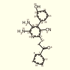 N#Cc1c(SCC(=O)c2ccccc2)nc(N)c(N)c1-c1cccc(O)c1